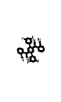 N#C/C(c1ccccc1C#N)=c1/cc(-c2cc(F)cc(F)c2)/c(=C(\C#N)c2ccccc2C#N)cc1-c1cc(F)cc(F)c1